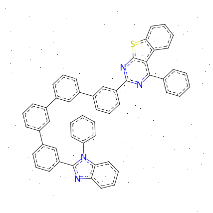 c1ccc(-c2nc(-c3cccc(-c4cccc(-c5cccc(-c6cccc(-c7nc8ccccc8n7-c7ccccc7)c6)c5)c4)c3)nc3sc4ccccc4c23)cc1